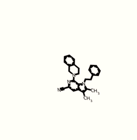 Cc1c(C)n(CCc2ccccc2)c2c(N3CCc4ccccc4C3)nc(C#N)cc12